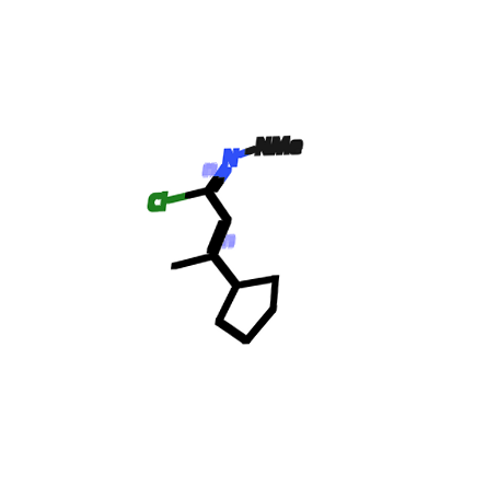 CN/N=C(Cl)\C=C(/C)C1CCCC1